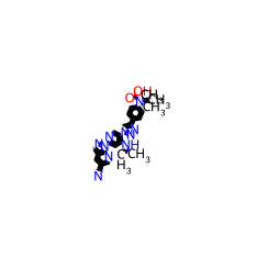 CC(C)Nc1cc(-n2ncc3cc(C#N)cnc32)ncc1-n1cc(C2CCC(N(C(=O)O)C(C)(C)C)CC2)nn1